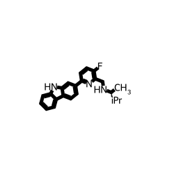 CC(C)[C@@H](C)NCc1nc(-c2ccc3c(c2)[nH]c2ccccc23)ccc1F